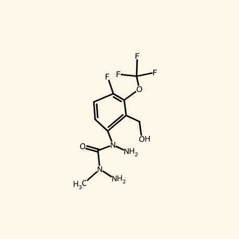 CN(N)C(=O)N(N)c1ccc(F)c(OC(F)(F)F)c1CO